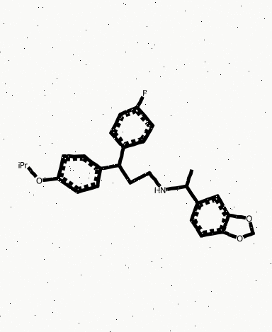 CC(C)Oc1ccc(C(CCNC(C)c2ccc3c(c2)OCO3)c2ccc(F)cc2)cc1